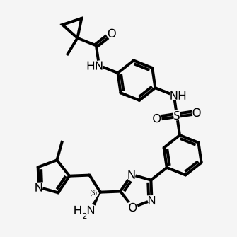 CC1C=NC=C1C[C@H](N)c1nc(-c2cccc(S(=O)(=O)Nc3ccc(NC(=O)C4(C)CC4)cc3)c2)no1